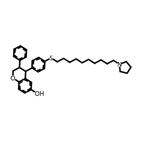 Oc1ccc2c(c1)C(c1ccc(SCCCCCCCCCCN3CCCC3)cc1)C(c1ccccc1)CO2